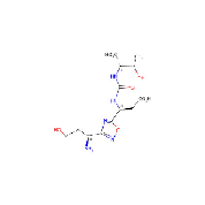 CC(O)[C@H](NC(=O)N[C@@H](CC(=O)O)c1nc([C@@H](N)CCO)no1)C(=O)O